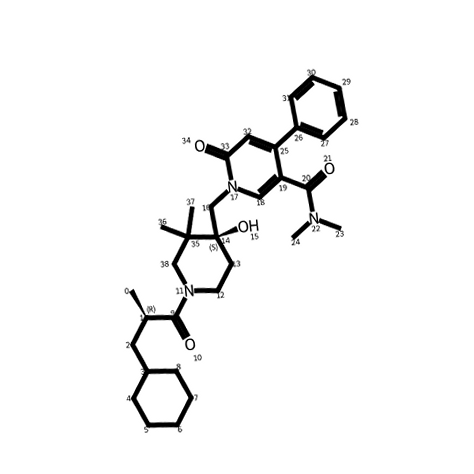 C[C@H](CC1CCCCC1)C(=O)N1CC[C@@](O)(Cn2cc(C(=O)N(C)C)c(-c3ccccc3)cc2=O)C(C)(C)C1